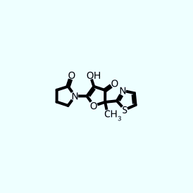 CC1(c2nccs2)OC(N2CCCC2=O)=C(O)C1=O